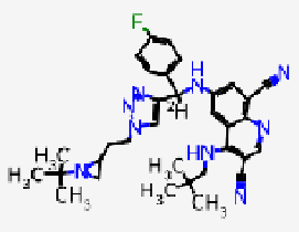 [2H]C(Nc1cc(C#N)c2ncc(C#N)c(NCC(C)(C)C)c2c1)(c1ccc(F)cc1)c1cn(CCC2CN2C(C)(C)C)nn1